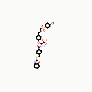 O=C(NC(Oc1ccc(CCCS(=O)(=O)c2ccc(Cl)cc2)cc1)C(=O)O)c1ccc(CSc2nc3ccccc3o2)cc1